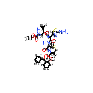 CC(=O)OCC1=C(C(=O)OC(c2ccccc2)c2ccccc2)N2C(=O)[C@@H](NC(=O)C(=NOC(CNC(=O)OC(C)(C)C)C3CC3)c3csc(N)n3)[C@H]2SC1